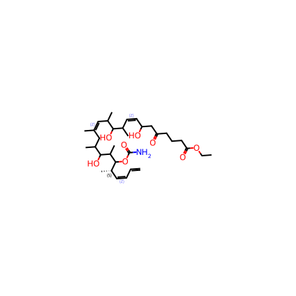 C=C/C=C\[C@H](C)C(OC(N)=O)C(C)C(O)C(C)C/C(C)=C\C(C)C(O)C(C)/C=C\C(O)CC(=O)CCCC(=O)OCC